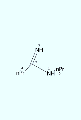 CCCNC(=N)CCC